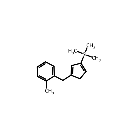 Cc1ccccc1CC1=CC([Si](C)(C)C)=CC1